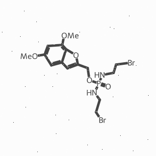 COc1cc(OC)c2oc(COP(=O)(NCCBr)NCCBr)cc2c1